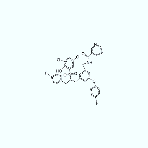 O=C(NCc1cc(CN(Cc2ccc(F)cc2)S(=O)(=O)c2cc(Cl)cc(Cl)c2O)cc(Oc2ccc(F)cc2)c1)c1cccnc1